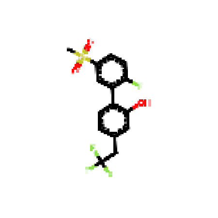 CS(=O)(=O)c1ccc(F)c(-c2ccc([CH]C(F)(F)F)cc2O)c1